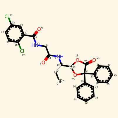 CC(C)C[C@H](NC(=O)CNC(=O)c1cc(Cl)ccc1Cl)B1OC(=O)C(c2ccccc2)(c2ccccc2)O1